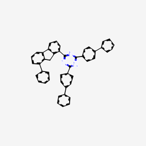 c1ccc(-c2ccc(-c3nc(-c4ccc(-c5ccccc5)cc4)nc(-c4cccc5c4Cc4c(-c6ccccc6)cccc4-5)n3)cc2)cc1